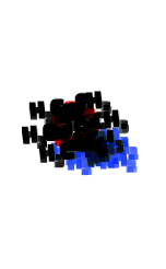 C[SiH]1O[SiH](C)O[SiH](C)O[Si](C)(C(N)(N)C(N)C(N)(N)N)O[SiH](C)O[SiH](C)O1